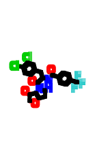 O=C(NC(Cc1ccc(Cl)c(Cl)c1)C(=O)N1CCC2OCC(=O)C21)c1ccc(C(F)(F)F)cc1